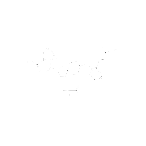 CC(C)COc1ccccc1CN1CCC2(CC1)CCN(C(=O)c1ncccc1C(N)=O)C2.O=C(O)C(F)(F)F